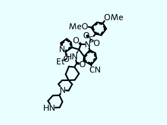 CCOc1ncccc1[C@]1(NC(=O)C2CCC3(CC2)CCN(C2CCNCC2)CC3)C(=O)N(S(=O)(=O)c2ccc(OC)cc2OC)c2ccc(C#N)cc21